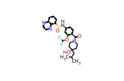 CC(C)CC1(O)CCN(C(=O)c2ccc(N[S+]([O-])c3cccc4nccnc34)cc2OC(F)F)CC1